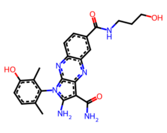 Cc1ccc(O)c(C)c1-n1c(N)c(C(N)=O)c2nc3cc(C(=O)NCCCO)ccc3nc21